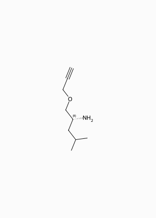 C#CCOC[C@H](N)CC(C)C